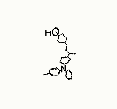 Cc1ccc(N(c2ccccc2)c2ccc(C(C)CCC3CCC(O)CC3)cc2)cc1